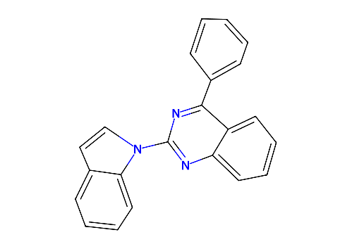 c1ccc(-c2nc(-n3ccc4ccccc43)nc3ccccc23)cc1